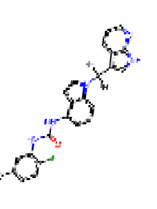 [2H]C([2H])(c1c[nH]c2ncccc12)n1ccc2c(NC(=O)Nc3cc(C)ccc3F)cccc21